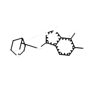 Fc1ccc2c(N[C@H]3CN4CCC3CC4)noc2c1Cl